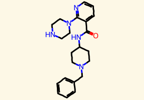 O=C(NC1CCN(Cc2ccccc2)CC1)c1cccnc1N1CCNCC1